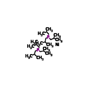 CC(C)CP(CC(C)C)CC(C)C.CC(C)CP(CC(C)C)CC(C)C.[Ni]